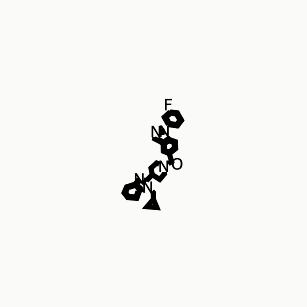 O=C(c1ccc2c(cnn2-c2cccc(F)c2)c1)N1CCC(c2nc3ccccc3n2CC2CC2)CC1